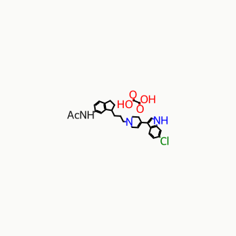 CC(=O)Nc1ccc2c(c1)C(CCCN1CC=C(c3c[nH]c4cc(Cl)ccc34)CC1)CC2.O=C(O)C(=O)O